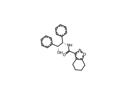 O=C(N[C@@H](c1ccccc1)[C@H](O)c1ccccc1)c1noc2c1CCCC2